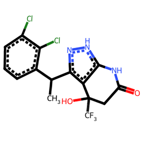 CC(c1cccc(Cl)c1Cl)c1n[nH]c2c1C(O)(C(F)(F)F)CC(=O)N2